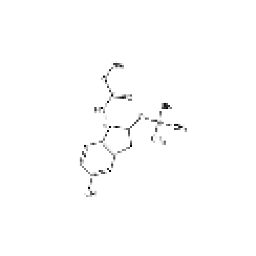 CC(C)(C)OC(=O)N[C@H]1c2ccc(C#N)cc2CC1O[Si](C)(C)C(C)(C)C